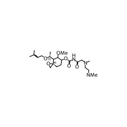 CNCCN(C)CC(=O)NC(=O)OC1CC[C@]2(CO2)C([C@H](C)OCC=C(C)C)C1OC